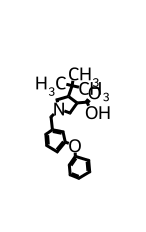 CC(C)(C)C1CN(Cc2cccc(Oc3ccccc3)c2)CC1C(=O)O